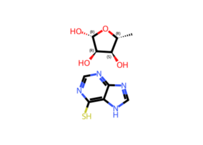 C[C@H]1O[C@@H](O)[C@H](O)[C@@H]1O.Sc1ncnc2nc[nH]c12